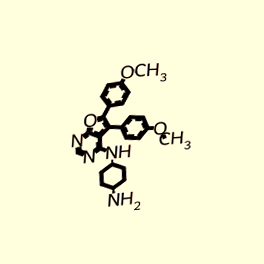 COc1ccc(-c2oc3ncnc(N[C@H]4CC[C@H](N)CC4)c3c2-c2ccc(OC)cc2)cc1